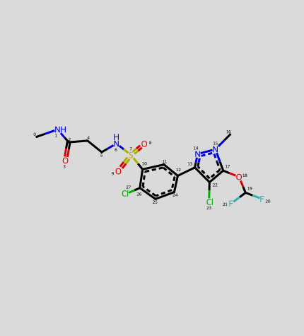 CNC(=O)CCNS(=O)(=O)c1cc(-c2nn(C)c(OC(F)F)c2Cl)ccc1Cl